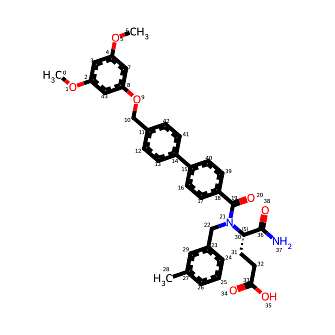 COc1cc(OC)cc(OCc2ccc(-c3ccc(C(=O)N(Cc4cccc(C)c4)[C@@H](CCC(=O)O)C(N)=O)cc3)cc2)c1